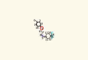 Cc1ccc(OCC/C=C\C2CCC(F)(F)CC2)cc1